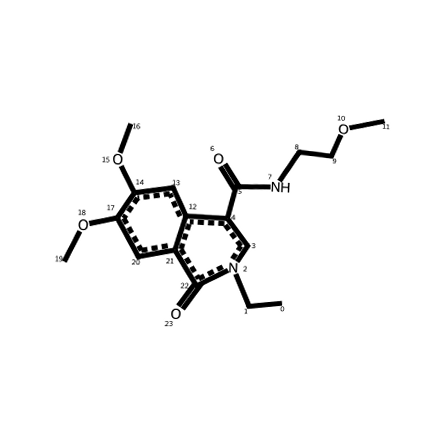 CCn1cc(C(=O)NCCOC)c2cc(OC)c(OC)cc2c1=O